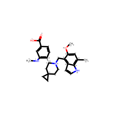 CNc1cc(C(=O)O)ccc1[C@H]1CC2(CCN1Cc1c(OC)cc(C)c3[nH]ccc13)CC2